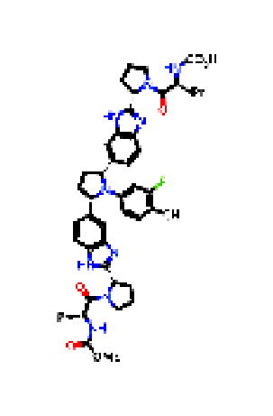 COC(=O)N[C@H](C(=O)N1CCC[C@H]1c1nc2cc([C@H]3CC[C@H](c4ccc5nc([C@@H]6CCCN6C(=O)[C@@H](NC(=O)O)C(C)C)[nH]c5c4)N3c3ccc(C#N)c(F)c3)ccc2[nH]1)C(C)C